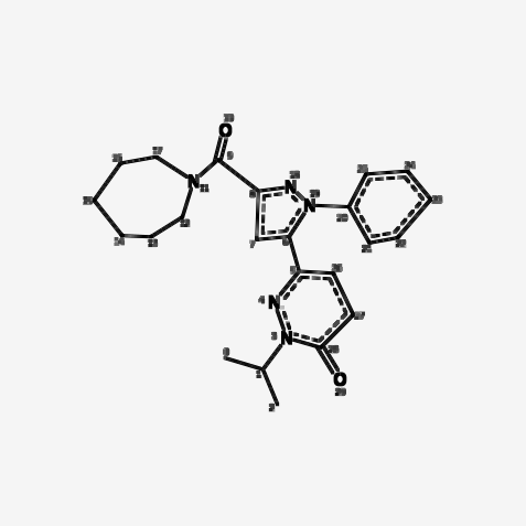 CC(C)n1nc(-c2cc(C(=O)N3CCCCCC3)nn2-c2ccccc2)ccc1=O